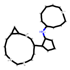 C1CCCCC(NC2CCCC2C2CCCCCCCCC3CC3CC2)CCCC1